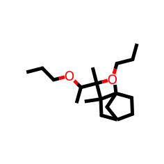 CCCOC(C)C(C)(OCCC)C1(C)CC2CCC1(C)C2